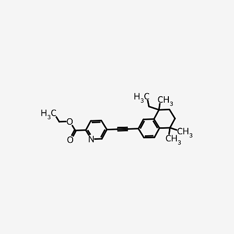 CCOC(=O)c1ccc(C#Cc2ccc3c(c2)C(C)(CC)CCC3(C)C)cn1